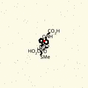 CSCC[C@H](NC(=O)[C@@H]1CSC2(CCC(C(=O)NCCC(=O)O)CC2)N1C(=O)c1ccccc1)C(=O)O